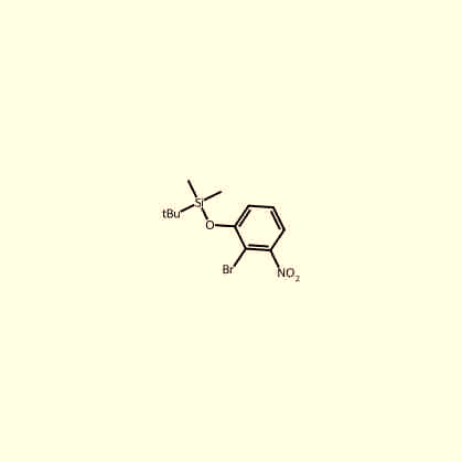 CC(C)(C)[Si](C)(C)Oc1cccc([N+](=O)[O-])c1Br